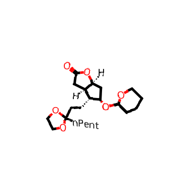 CCCCCC1(CC[C@@H]2[C@H]3CC(=O)O[C@H]3C[C@H]2OC2CCCCO2)OCCO1